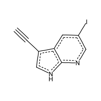 C#Cc1c[nH]c2ncc(I)cc12